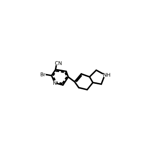 N#Cc1cc(C2=CC3CNCC3CC2)cnc1Br